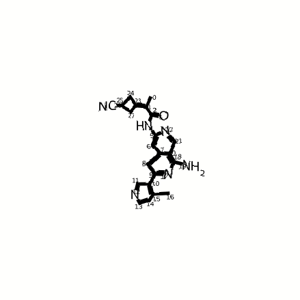 CC(C(=O)Nc1cc2cc(-c3cnccc3C)nc(N)c2cn1)=C1CC(C#N)C1